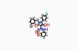 O=C1C(C2=NS(=O)(=O)c3ccccc3N2)=C(O)C(c2ccc(F)cc2)N1Cc1cccc(Br)c1